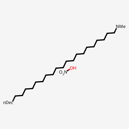 CCCCCCCCCCCCCCCCCCCCCCCCCCCCCCNC.O=[N+]([O-])O